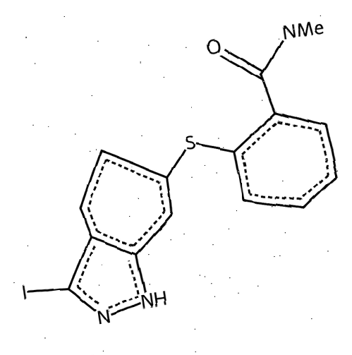 CNC(=O)c1ccccc1Sc1ccc2c(I)n[nH]c2c1